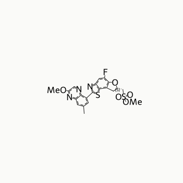 COc1cnc2c(-c3nc4cc(F)c5c(c4s3)C[C@@H](CS(=O)(=O)OC)O5)cc(C)cc2n1